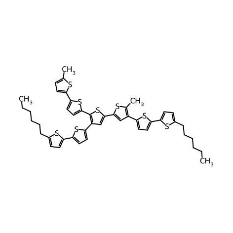 CCCCCCc1ccc(-c2ccc(-c3cc(-c4cc(-c5ccc(-c6ccc(CCCCCC)s6)s5)c(-c5ccc(-c6ccc(C)s6)s5)s4)sc3C)s2)s1